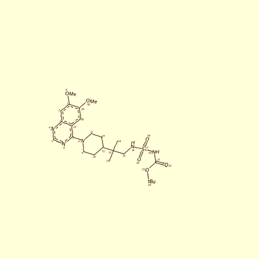 COc1cc2ncnc(N3CCC(C(C)(C)CNS(=O)(=O)NC(=O)OC(C)(C)C)CC3)c2cc1OC